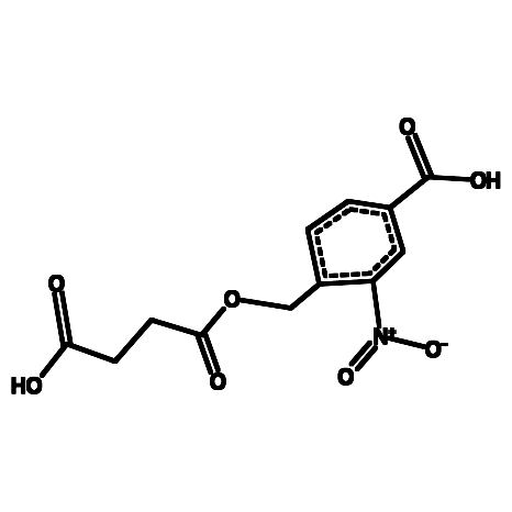 O=C(O)CCC(=O)OCc1ccc(C(=O)O)cc1[N+](=O)[O-]